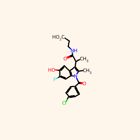 Cc1c(C(C)C(=O)NCCC(=O)O)c2cc(O)c(F)cc2n1C(=O)c1ccc(Cl)cc1